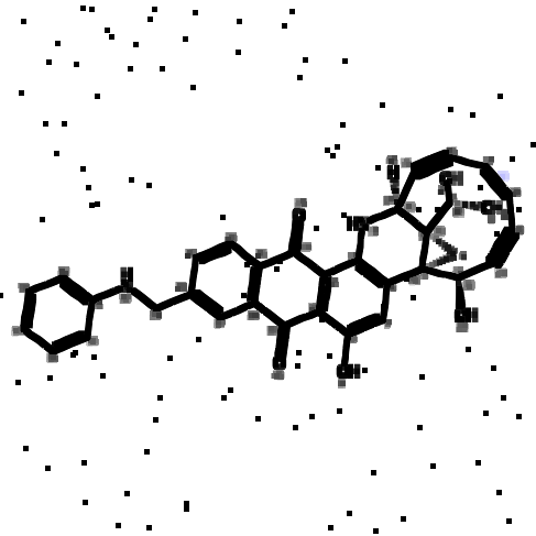 C[C@@H](O)[C@@]12C[C@]13c1cc(O)c4c(c1N[C@H]2C#C/C=C\C#C[C@H]3O)C(=O)c1ccc(CNc2ccccc2)cc1C4=O